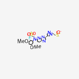 COc1cc(OC)c(F)c(N(CCS(C)(=O)=O)c2ccc3ncc(-c4cnn(CC[S+](C)[O-])c4)nc3n2)c1